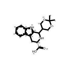 CC1(C)OCC(C2N[C@H](C(=O)O)Cc3c2[nH]c2ccccc32)CO1